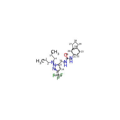 CCCN(CCC)n1nc(C(F)(F)F)cc1CNC(=O)Nc1ccc2c(c1)CCC2